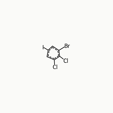 Clc1cc(I)cc(Br)c1Cl